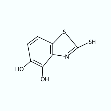 Oc1ccc2sc(S)nc2c1O